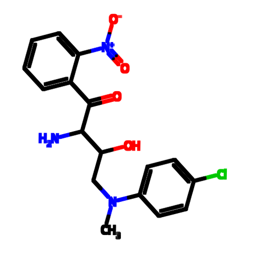 CN(CC(O)C(N)C(=O)c1ccccc1[N+](=O)[O-])c1ccc(Cl)cc1